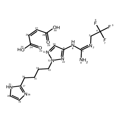 N/C(=N/CC(F)(F)F)Nc1cnn(CCCCc2ncc[nH]2)n1.O=C(O)/C=C\C(=O)O